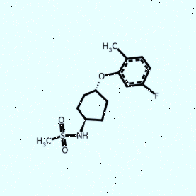 Cc1ccc(F)cc1O[C@H]1CC[C@H](NS(C)(=O)=O)CC1